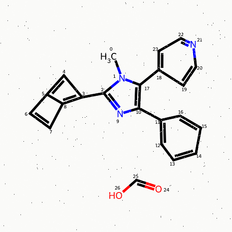 Cn1c(-c2cc3ccc2-3)nc(-c2ccccc2)c1-c1ccncc1.O=CO